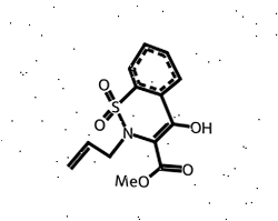 C=CCN1C(C(=O)OC)=C(O)c2ccccc2S1(=O)=O